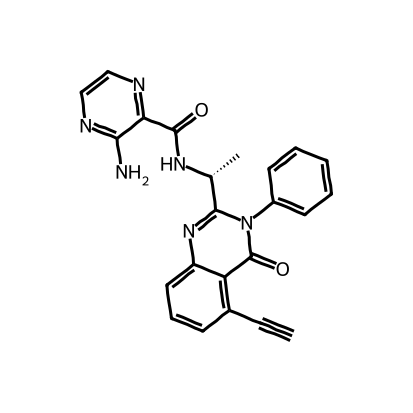 C#Cc1cccc2nc([C@@H](C)NC(=O)c3nccnc3N)n(-c3ccccc3)c(=O)c12